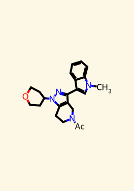 CC(=O)N1CCc2c(c(-c3cn(C)c4ccccc34)nn2C2CCOCC2)C1